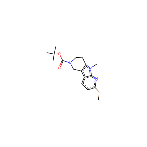 CSc1ccc2c3c(n(C)c2n1)CCN(C(=O)OC(C)(C)C)C3